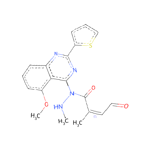 CNN(C(=O)/C(C)=C\C=O)c1nc(-c2cccs2)nc2cccc(OC)c12